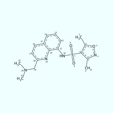 Cc1noc(C)c1S(=O)(=O)Nc1cccc2ccc(CN(C)C)nc12